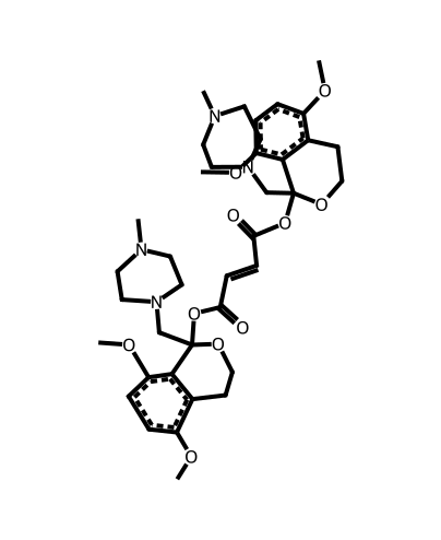 COc1ccc(OC)c2c1CCOC2(CN1CCN(C)CC1)OC(=O)/C=C/C(=O)OC1(CN2CCN(C)CC2)OCCc2c(OC)ccc(OC)c21